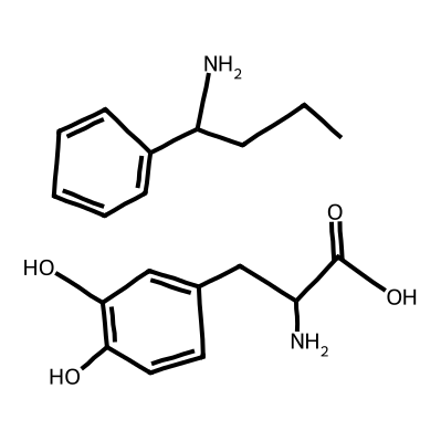 CCCC(N)c1ccccc1.NC(Cc1ccc(O)c(O)c1)C(=O)O